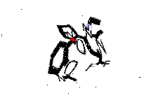 C=C1N=C(C(F)F)C=C(C2CCC3CCC2N3C(=O)c2cccc3nc(C)oc23)N1/N=C\C